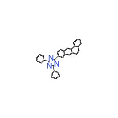 c1ccc(-c2nc(-c3ccccc3)nc(-c3ccc4cc5c(ccc6ccccc65)cc4c3)n2)cc1